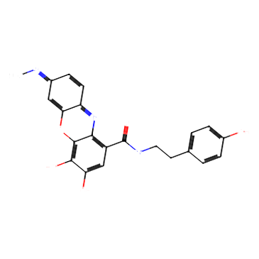 C/N=c1/ccc2nc3c(C(=O)NCCc4ccc(O)cc4)cc(O)c(O)c3oc-2c1